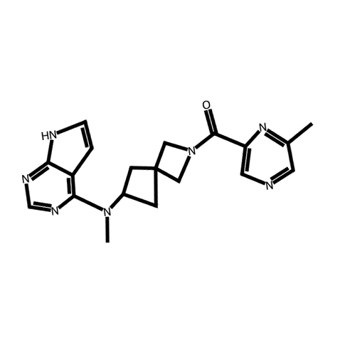 Cc1cncc(C(=O)N2CC3(CC(N(C)c4ncnc5[nH]ccc45)C3)C2)n1